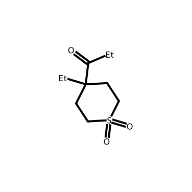 CCC(=O)C1(CC)CCS(=O)(=O)CC1